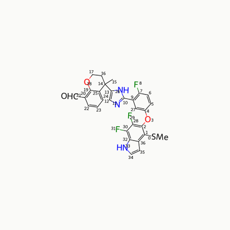 CSc1c(Oc2ccc(F)c(-c3ncc(C4(C)CCOc5c(C=O)cccc54)[nH]3)c2)c(F)c(F)c2[nH]ccc12